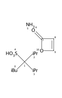 CCC(C)C(C(C)C)(C(C)C)S(=O)(=O)O.N.O=C1C=CO1